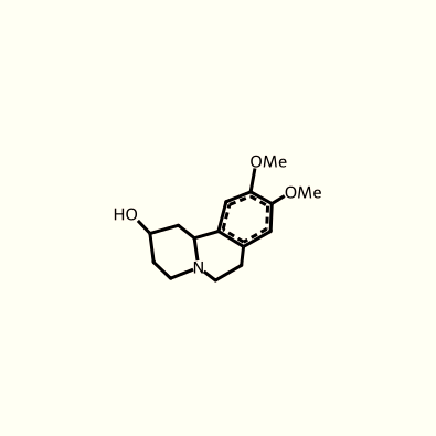 COc1cc2c(cc1OC)C1CC(O)CCN1CC2